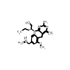 CCC[C@@H](CO)Nc1nc(N)nc(C)c1Cc1ccc(CNC)cc1OC